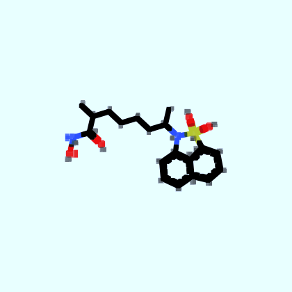 CC(CCCCC(C)N1c2cccc3cccc(c23)S1(=O)=O)C(=O)NO